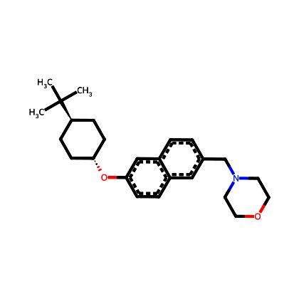 CC(C)(C)[C@H]1CC[C@H](Oc2ccc3cc(CN4CCOCC4)ccc3c2)CC1